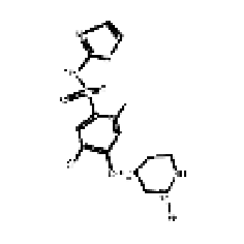 CC[C@H]1C[C@H](Oc2cc(F)c(S(=O)(=O)Nc3nccs3)cc2Cl)CCN1